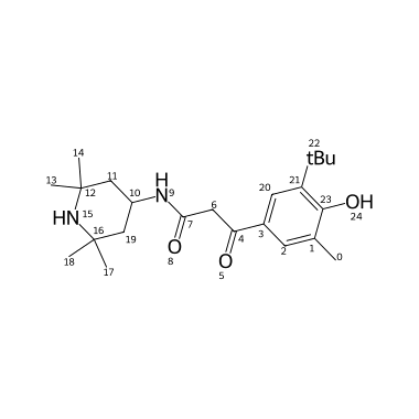 Cc1cc(C(=O)CC(=O)NC2CC(C)(C)NC(C)(C)C2)cc(C(C)(C)C)c1O